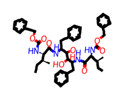 CC[C@H](C)[C@H](NC(=O)OCc1ccccc1)C(=O)NC(Cc1ccccc1)C(O)C(O)C(Cc1ccccc1)NC(=O)[C@@H](NC(=O)OCc1ccccc1)[C@@H](C)CC